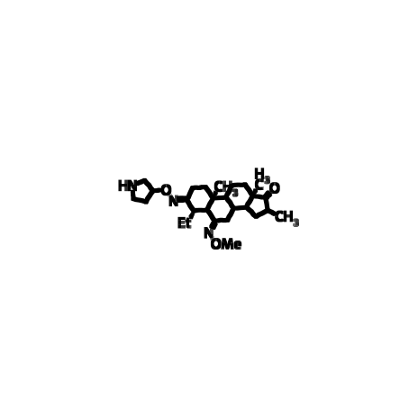 CC[C@H]1C(=NOC2CCNC2)CC[C@]2(C)C3CC[C@]4(C)C(=O)C(C)CC4C3CC(=NOC)C12